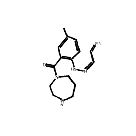 Cc1ccc(N/N=C\C=N)c(C(=O)N2CCCNCC2)c1